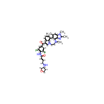 Cc1cc2c(nc(C)n2C)c2c1-c1cccc3c(C(=O)c4cc(F)c(NC(=O)/C=C/CN[C@H]5CCOC5)c(F)c4)cn(c13)CCN2C